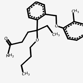 CCCCOC(CC)(CCC(N)=O)c1ccccc1COc1ccccc1C